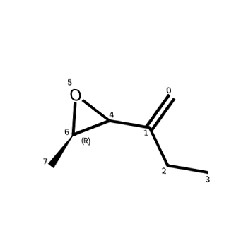 C=C(CC)C1O[C@@H]1C